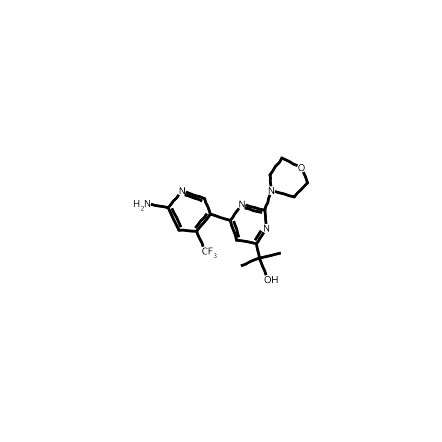 CC(C)(O)c1cc(-c2cnc(N)cc2C(F)(F)F)nc(N2CCOCC2)n1